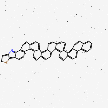 C1=C2N=c3c(ccc4c3ccc3ccc5c(ccc6ccc7c(ccc8ccc9c(ccc%10ccc%11c%12ccccc%12ccc%11c%109)c87)c65)c34)=C2SC1